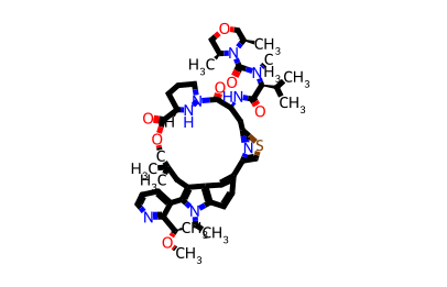 CCn1c(-c2cccnc2[C@H](C)OC)c2c3cc(ccc31)-c1csc(n1)C[C@H](NC(=O)[C@H](C(C)C)N(C)C(=O)N1[C@H](C)COC[C@@H]1C)C(=O)N1CCC[C@H](N1)C(=O)OCC(C)(C)C2